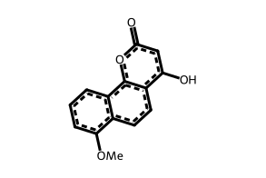 COc1cccc2c1ccc1c(O)cc(=O)oc12